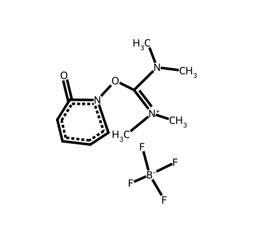 CN(C)C(On1ccccc1=O)=[N+](C)C.F[B-](F)(F)F